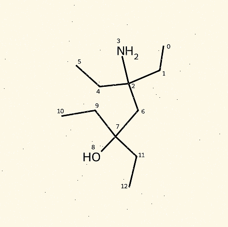 CCC(N)(CC)CC(O)(CC)CC